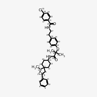 CN(C)C1(CCc2ccccc2)CCC(NC(=O)C(C)(C)Oc2ccc(CCNC(=O)c3ccc(Cl)cc3)cc2)CC1